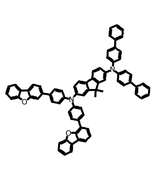 CC1(C)c2cc(N(c3ccc(-c4ccccc4)cc3)c3ccc(-c4ccccc4)cc3)ccc2-c2ccc(N(c3ccc(-c4ccc5c(c4)oc4ccccc45)cc3)c3ccc(-c4cccc5c4oc4ccccc45)cc3)cc21